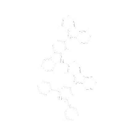 c1ccc(-c2cc(-n3c4ccccc4c4ccc(-n5c6ccccc6c6ccc(-n7c8ccccc8c8ccccc87)cc65)cc43)cc(-c3ccccc3)n2)cc1